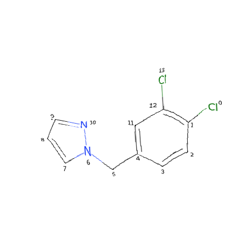 Clc1ccc(Cn2cc[c]n2)cc1Cl